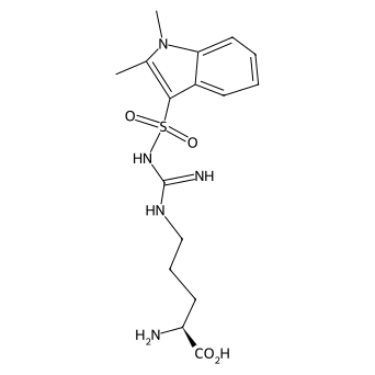 Cc1c(S(=O)(=O)NC(=N)NCCC[C@H](N)C(=O)O)c2ccccc2n1C